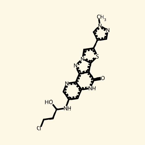 Cn1cc(-c2cn3nc4c5ncc(NC(O)CCCl)cc5[nH]c(=O)c4c3s2)cn1